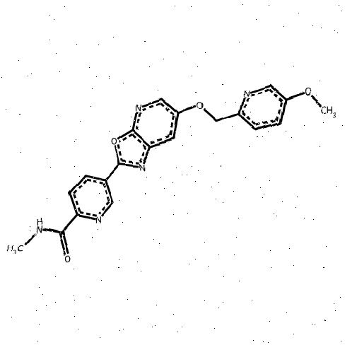 CNC(=O)c1ccc(-c2nc3cc(OCc4ccc(OC)cn4)cnc3o2)cn1